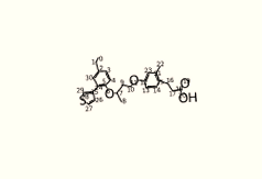 CCc1ccc(OC(C)CCOc2ccc(CCC(=O)O)c(C)c2)c(-c2ccsc2)c1